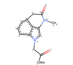 COC(=O)Cn1cc2c3c(cccc31)CC(=O)N2C